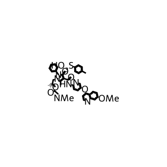 CNCC(=O)O[C@H](C)Cn1c(C)c(C(=O)Nc2ccc(Oc3ccnc4cc(OC)ccc34)cn2)c(=O)n1-c1ccccc1.Cc1ccc(S(=O)(=O)O)cc1